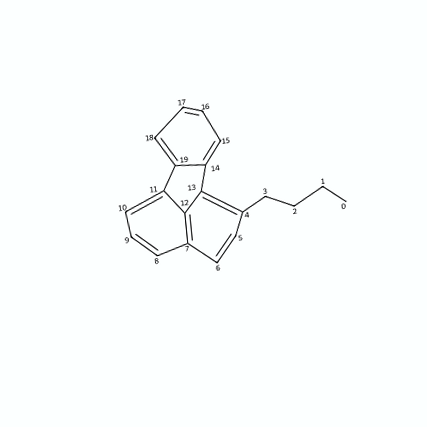 CCCCc1ccc2cccc3c2c1-c1ccccc1-3